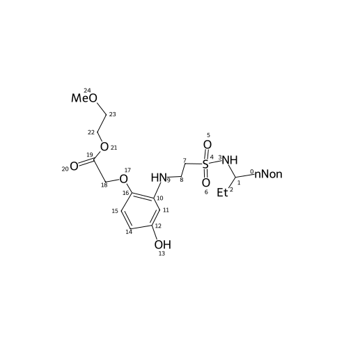 CCCCCCCCCC(CC)NS(=O)(=O)CCNc1cc(O)ccc1OCC(=O)OCCOC